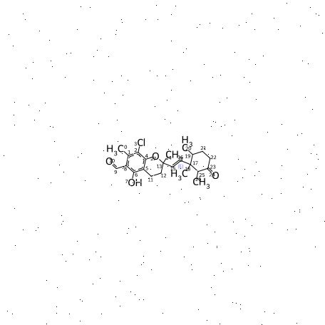 Cc1c(Cl)c2c(c(O)c1C=O)CCC(C)(/C=C/C1(C)C(C)CCC(=O)C1C)O2